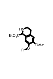 CCOC(=O)C1NCCc2cc(OC)c(OC(C)C)cc21